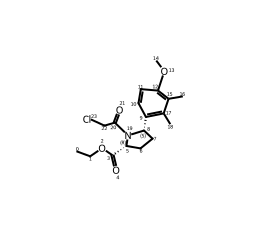 CCOC(=O)[C@H]1CC[C@@H](c2ccc(OC)c(C)c2C)N1C(=O)CCl